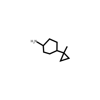 CC1(C2CCC(N)CC2)CC1